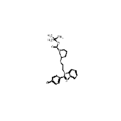 CC(C)(C)OC(=O)N1CCCC(CCCn2c(-c3ccc(Cl)cc3)nc3ccccc32)C1